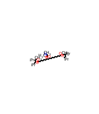 CC(C)CCC(C(C)C)C(C)OC(=O)CCCCCCCC(CCCCCCCC(=O)OC(C)C(CCC(C)C)C(C)C)OC(=O)CN(C)C